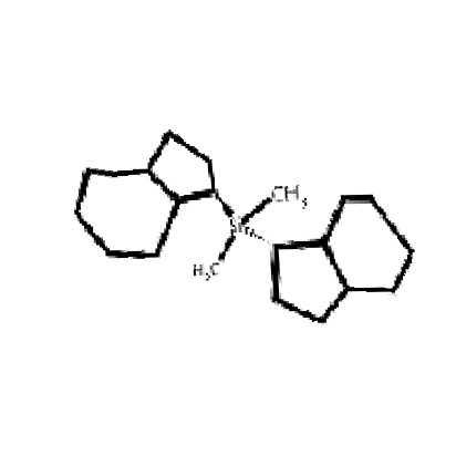 C[Si](C)([C@@H]1CCC2CCCCC21)[C@H]1CCC2CCCCC21